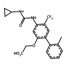 Cc1ccccc1-c1cc(C(F)(F)F)c(NC(=O)NC2CC2)cc1OCC(=O)O